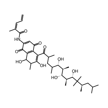 C=C/C=C(/C)C(=O)NC1=CC(=O)C2=C(C1=O)C(O)C(C)C(O)=C2C(=O)C(C)CC(C)[C@H](O)[C@@H](C)[C@@H](O)[C@H](C)[C@H](O)C(C)(C)[C@H](C)CC(C)C